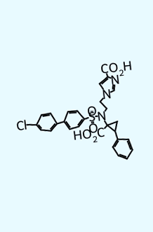 O=C(O)c1cn(CCN(C2(C(=O)O)CC2c2ccccc2)S(=O)(=O)c2ccc(-c3ccc(Cl)cc3)cc2)cn1